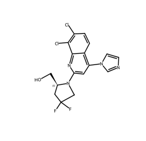 OC[C@@H]1CC(F)(F)CN1c1cc(-n2ccnc2)c2ccc(Cl)c(Cl)c2n1